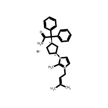 CC(C)=CC[n+]1ccn([C@H]2CC[C@@H](C(C(N)=O)(c3ccccc3)c3ccccc3)C2)c1C.[Br-]